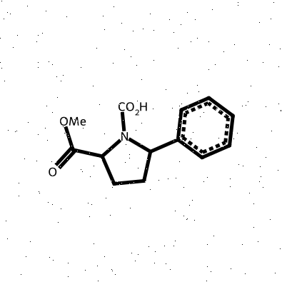 COC(=O)C1CCC(c2ccccc2)N1C(=O)O